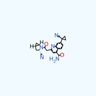 N#C[C@@H]1C[C@@H]2C[C@@H]2N1C(=O)Cc1cc(C(N)=O)c2ccc(C3(C#N)CC3)cc2n1